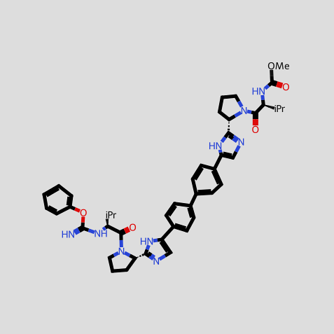 COC(=O)N[C@H](C(=O)N1CCC[C@H]1c1ncc(-c2ccc(-c3ccc(-c4cnc([C@@H]5CCCN5C(=O)[C@@H](NC(=N)Oc5ccccc5)C(C)C)[nH]4)cc3)cc2)[nH]1)C(C)C